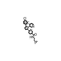 CN(C)CCNC(=O)c1ccc(-c2ccc(-c3ccc(Cl)cc3)n2-c2cnccc2C(F)(F)F)nc1